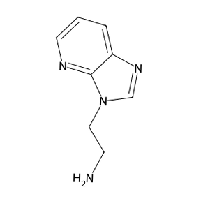 NCCn1cnc2cccnc21